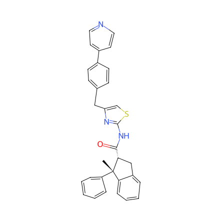 C[C@]1(c2ccccc2)c2ccccc2C[C@H]1C(=O)Nc1nc(Cc2ccc(-c3ccncc3)cc2)cs1